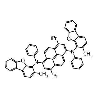 Cc1ccc2c(oc3ccccc32)c1N(c1ccccc1)c1cc(C(C)C)c2ccc3c(N(c4ccccc4)c4c(C)ccc5c4oc4ccccc45)cc(C(C)C)c4ccc1c2c43